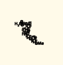 COc1cnc2c(Oc3ccc(Nc4nnc(-c5ccc(Cl)c(OCCS(C)(=O)=O)c5)c5ccccc45)cc3)ccnc2c1